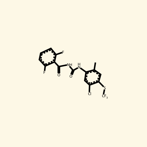 Cc1cc(SC(F)(F)F)c(Cl)cc1NC(=O)NC(=O)c1c(F)cccc1F